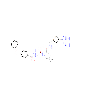 N=C(N)c1csc(CNC(=O)C2CC3(CC3)CN2C(=O)CNC(=O)c2ccc(Oc3ccccc3)cc2)c1